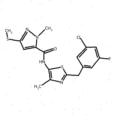 CSc1cc(C(=O)Nc2sc(Cc3cc(F)cc(Cl)c3)nc2C)n(C)n1